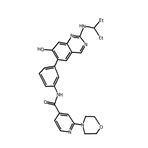 CCC(CC)Nc1ncc2cc(-c3cccc(NC(=O)c4ccnc(N5CCOCC5)c4)c3)c(O)cc2n1